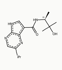 CC(C)c1cnc2[nH]cc(C(=O)N[C@@H](C)C(C)(C)O)c2n1